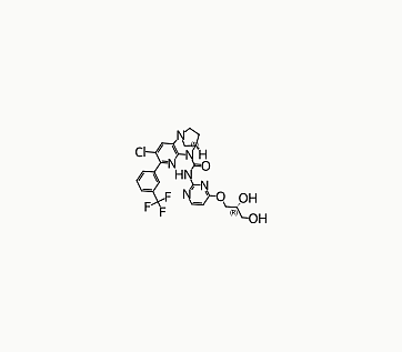 O=C(Nc1nccc(OC[C@H](O)CO)n1)N1c2nc(-c3cccc(C(F)(F)F)c3)c(Cl)cc2N2CC[C@H]1C2